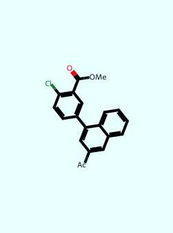 COC(=O)c1cc(-c2cc(C(C)=O)cc3ccccc23)ccc1Cl